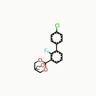 Fc1c(-c2ccc(Cl)cc2)cccc1C12OCC(CO1)CO2